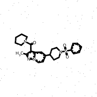 Cc1nn2ccc(C3CCN(S(=O)(=O)c4ccccc4)CC3)cc2c1C(=O)N1CCCCC1